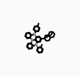 Cc1ccc(N2c3ccccc3B3c4ccccc4N(c4ccccc4C)c4cc(C56CCC7CCC(CC7C5)C6)cc2c43)cc1